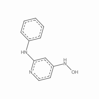 ONc1ccnc(Nc2ccccc2)c1